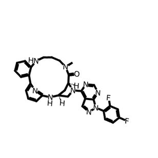 CN1CCCNc2ccccc2-c2cccc(n2)N[C@H]2C[C@@H](C1=O)N(c1ncnc3c1cnn3-c1ccc(F)cc1F)C2